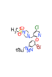 CC(C)(C)Cn1nnc2c(Br)c(Oc3ncc(Cl)cc3CN3CCN(S(C)(=O)=O)CC3)ccc21